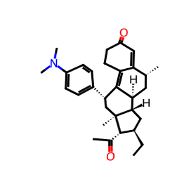 CC[C@@H]1C[C@H]2[C@@H]3C[C@@H](C)C4=CC(=O)CCC4=C3[C@@H](c3ccc(N(C)C)cc3)C[C@]2(C)[C@H]1C(C)=O